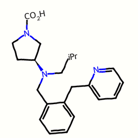 CC(C)CN(Cc1ccccc1Cc1ccccn1)[C@H]1CCN(C(=O)O)C1